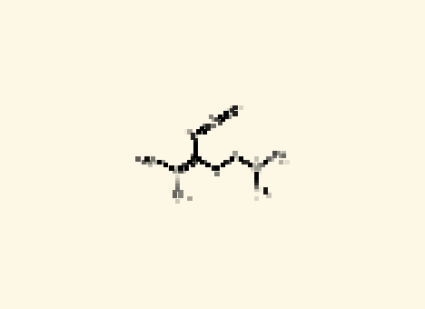 CC(C(=O)O)=C(CCN(C)C)N=C=O